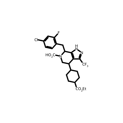 CCOC(=O)C1CCC(C2CN(C(=O)O)C(Cc3ccc(Cl)cc3F)c3[nH]nc(C(F)(F)F)c32)CC1